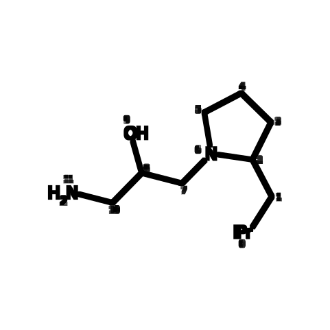 CC(C)CC1CCCN1CC(O)CN